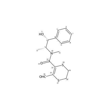 C[C@H]([C@H](O)c1ccccc1)N(C)C(=O)C1=C(C=O)SCCS1